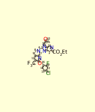 CCOC(=O)c1cc2nc(CN3CCc4cc(C(F)(F)F)c(OCc5ccc(Cl)cc5F)nc4C3)n(C[C@@H]3CCO3)c2cn1